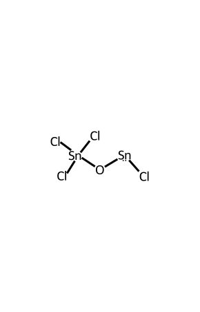 [Cl][Sn][O][Sn]([Cl])([Cl])[Cl]